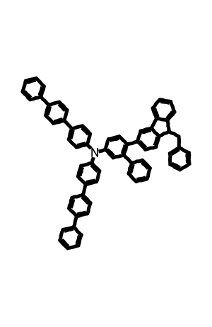 c1ccc(CC2c3ccccc3-c3cc(-c4ccc(N(c5ccc(-c6ccc(-c7ccccc7)cc6)cc5)c5ccc(-c6ccc(-c7ccccc7)cc6)cc5)cc4-c4ccccc4)ccc32)cc1